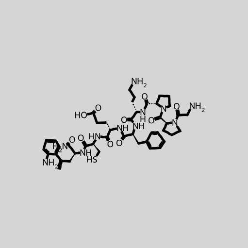 C=C(C[C@H](NC(=O)[C@H](CS)NC(=O)[C@H](CCC(=O)O)NC(=O)[C@H](Cc1ccccc1)NC(=O)[C@H](CCCN)NC(=O)[C@@H]1CCCN1C(=O)[C@@H]1CCCN1C(=O)CN)C(N)=O)c1ccccc1N